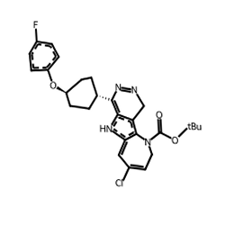 CC(C)(C)OC(=O)N1CC=C(Cl)C=c2[nH]c3c(c21)CN=NC=3[C@H]1CC[C@H](Oc2ccc(F)cc2)CC1